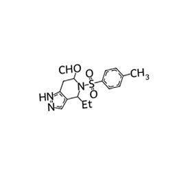 CCC1c2cn[nH]c2CC(C=O)N1S(=O)(=O)c1ccc(C)cc1